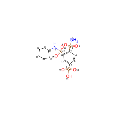 NS(=O)(=O)c1ccc(S(=O)(=O)O)cc1S(=O)(=O)NC1CCCCC1